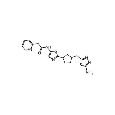 Nc1nnc(CC2CCC(c3nnc(NC(=O)Cc4ccccn4)s3)C2)s1